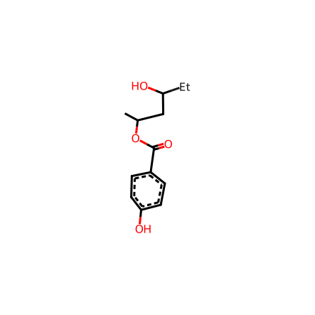 CCC(O)CC(C)OC(=O)c1ccc(O)cc1